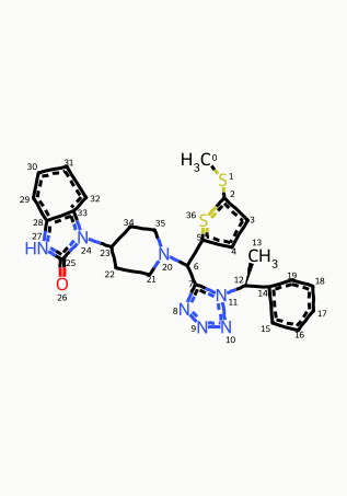 CSc1ccc(C(c2nnnn2[C@@H](C)c2ccccc2)N2CCC(n3c(=O)[nH]c4ccccc43)CC2)s1